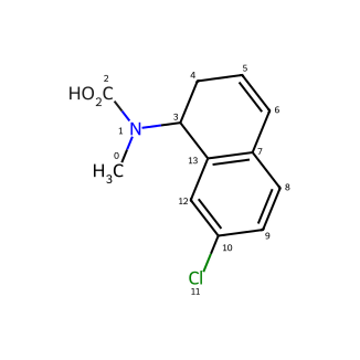 CN(C(=O)O)C1CC=Cc2ccc(Cl)cc21